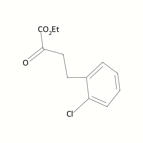 CCOC(=O)C(=O)CCc1ccccc1Cl